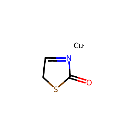 O=C1N=CCS1.[Cu]